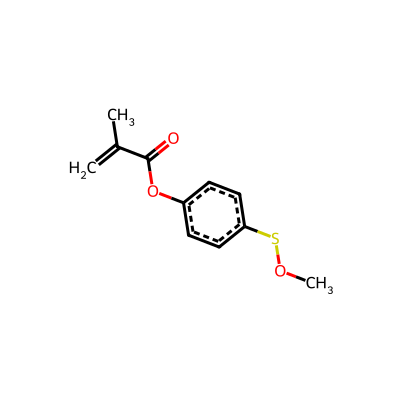 C=C(C)C(=O)Oc1ccc(SOC)cc1